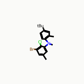 Cc1cc(Br)c(Cl)c(N(C)c2ccc(C(C)(C)C)cc2C)c1